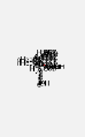 CCCCCCCC(=O)OCC(COC(=O)CCCCCCC)(COC(=O)CCCCCCC)COC(=O)CCCCCCC.CCCCCCCCCC(=O)O.CCCCCCCCCC(=O)O.CCCCCCCCCC(=O)O.CCCCCCCCCC(=O)O